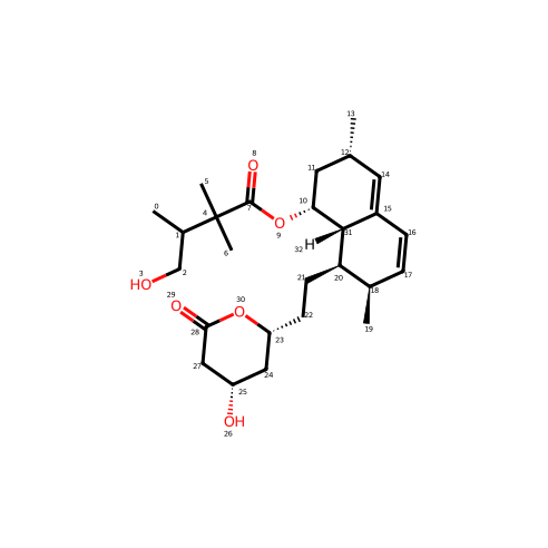 CC(CO)C(C)(C)C(=O)O[C@@H]1C[C@H](C)C=C2C=C[C@@H](C)[C@@H](CC[C@@H]3C[C@H](O)CC(=O)O3)[C@@H]21